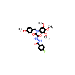 COc1ccc(CN(C(=O)C(=O)NNC(=O)c2ccc(F)cc2)c2cc(OC)c(OC)c(OC)c2)cc1